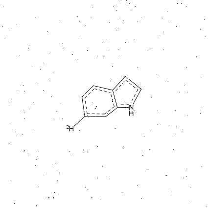 [2H]c1ccc2cc[nH]c2c1